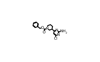 Nc1nc(Cl)cc(C2CCCN(C(=O)OCc3ccccc3)C2)n1